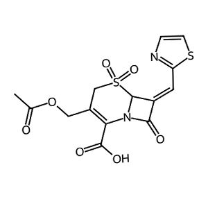 CC(=O)OCC1=C(C(=O)O)N2C(=O)/C(=C/c3nccs3)C2S(=O)(=O)C1